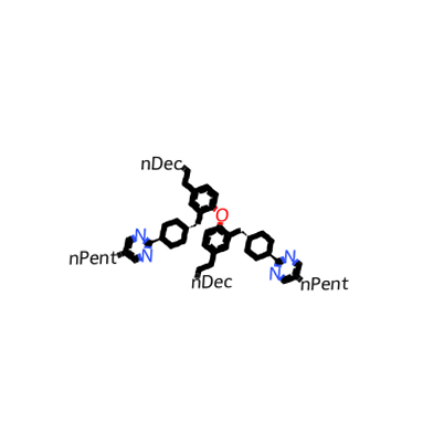 CCCCCCCCCCCCc1ccc(Oc2ccc(CCCCCCCCCCCC)cc2C[C@H]2CC[C@H](c3ncc(CCCCC)cn3)CC2)c(C[C@H]2CC[C@H](c3ncc(CCCCC)cn3)CC2)c1